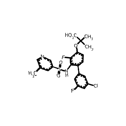 Cc1cncc(S(=O)(=O)Nc2c(-c3cc(F)cc(Cl)c3)ccc(OC(C)(C)C(=O)O)c2F)c1